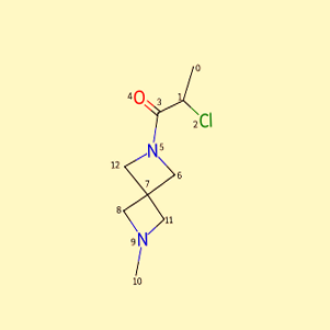 CC(Cl)C(=O)N1CC2(CN(C)C2)C1